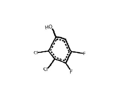 Oc1cc(F)c(F)c(Cl)c1Cl